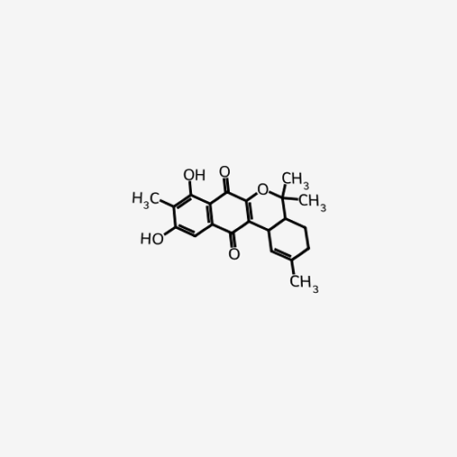 CC1=CC2C3=C(OC(C)(C)C2CC1)C(=O)c1c(cc(O)c(C)c1O)C3=O